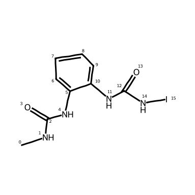 CNC(=O)Nc1ccccc1NC(=O)NI